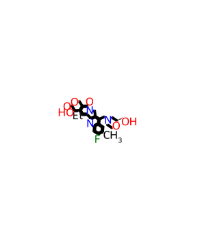 CC[C@@]1(O)C(=O)OCc2c1cc1n(c2=O)Cc2c-1nc1cc(F)c(C)cc1c2CN1CCO[C@@H](CO)C1